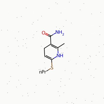 CCCSC1=CCC(C(N)=O)=C(C)N1